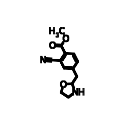 COC(=O)c1ccc(CC2NCCO2)cc1C#N